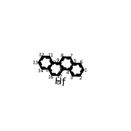 [Hf].c1ccc2c(c1)ccc1c3ccccc3ccc21